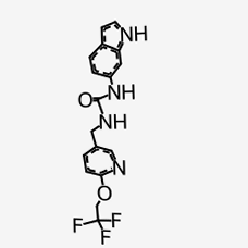 O=C(NCc1ccc(OCC(F)(F)F)nc1)Nc1ccc2cc[nH]c2c1